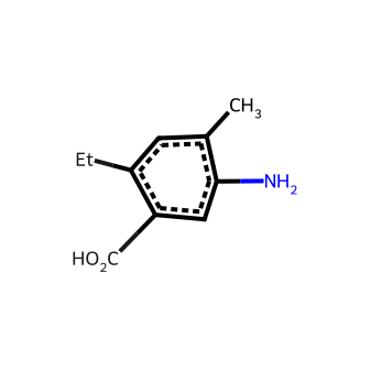 CCc1cc(C)c(N)cc1C(=O)O